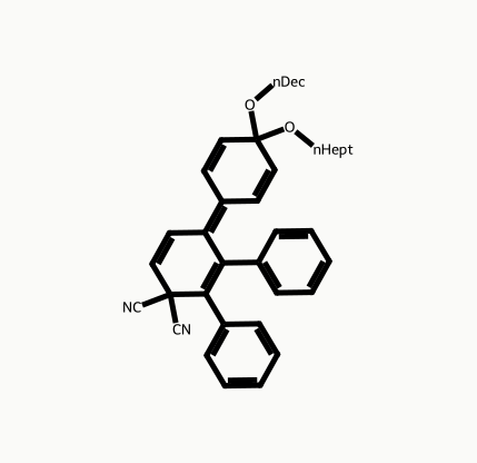 CCCCCCCCCCOC1(OCCCCCCC)C=CC(=C2C=CC(C#N)(C#N)C(c3ccccc3)=C2c2ccccc2)C=C1